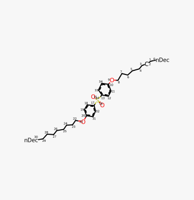 CCCCCCCCCCCCCCCCCCOc1ccc(S(=O)(=O)c2ccc(OCCCCCCCCCCCCCCCCCC)cc2)cc1